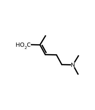 C/C(=C\CCN(C)C)C(=O)O